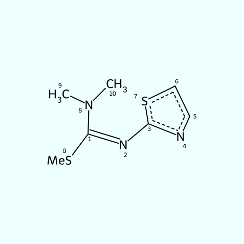 CSC(=Nc1nccs1)N(C)C